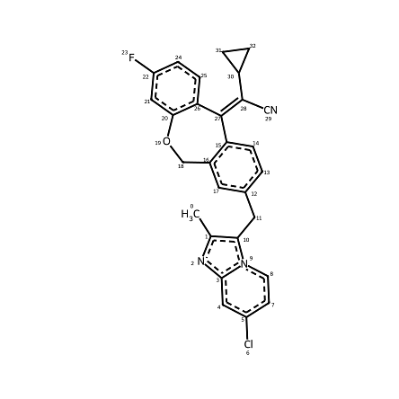 Cc1nc2cc(Cl)ccn2c1Cc1ccc2c(c1)COc1cc(F)ccc1/C2=C(/C#N)C1CC1